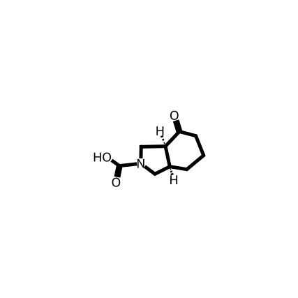 O=C1CCC[C@H]2CN(C(=O)O)C[C@@H]12